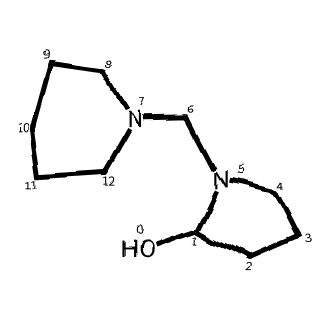 OC1CCCN1CN1CCCCC1